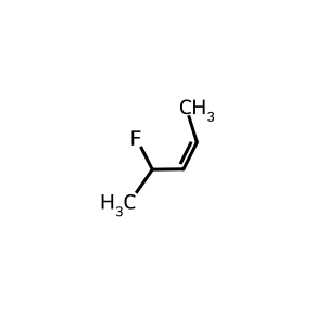 C/C=C\C(C)F